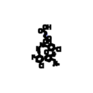 CSc1c(CN(C)C)cccc1Oc1cc(Cl)ccc1C#N.N#Cc1ccc(Cl)cc1F.O=C(O)/C=C/C(=O)O